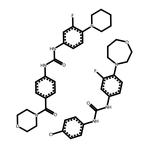 O=C(Nc1ccc(C(=O)N2CCOCC2)cc1)Nc1ccc(N2CCCCC2)c(F)c1.O=C(Nc1ccc(Cl)cc1)Nc1ccc(N2CCCOCC2)c(F)c1